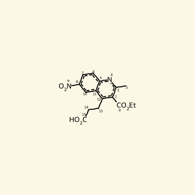 CCOC(=O)c1c(C)nc2ccc([N+](=O)[O-])cc2c1CCC(=O)O